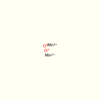 [Mn+2].[Mn+2].[O-2].[O-2]